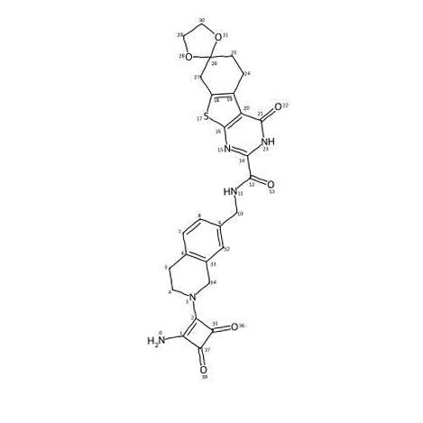 Nc1c(N2CCc3ccc(CNC(=O)c4nc5sc6c(c5c(=O)[nH]4)CCC4(C6)OCCO4)cc3C2)c(=O)c1=O